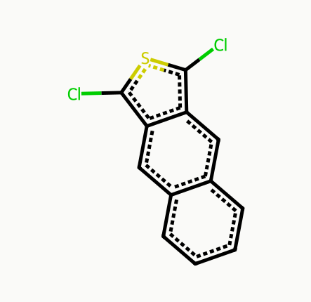 Clc1sc(Cl)c2cc3ccccc3cc12